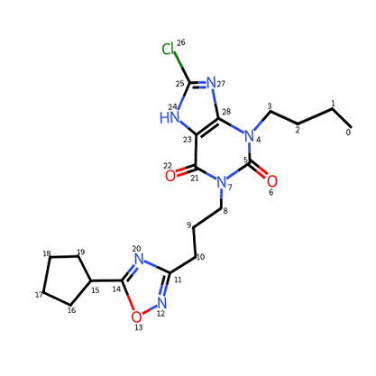 CCCCn1c(=O)n(CCCc2noc(C3CCCC3)n2)c(=O)c2[nH]c(Cl)nc21